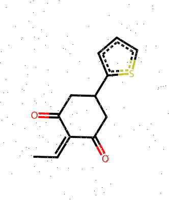 CC=C1C(=O)CC(c2cccs2)CC1=O